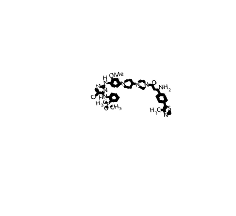 COc1cc(N2CCC(N3CCN(C(=O)C[C@H](N)c4ccc(-c5scnc5C)cc4)CC3)CC2)ccc1Nc1ncc(Cl)c(Nc2ccccc2P(C)(C)=O)n1